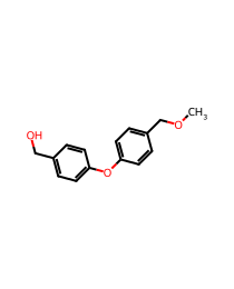 COCc1ccc(Oc2ccc(CO)cc2)cc1